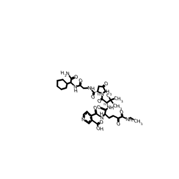 CCNC(=O)C(=O)CCC(NC(=O)c1ccncc1C(=O)O)C(=O)N[C@H](C(=O)N1CC(=O)C[C@H]1C(=O)NCC(=O)NC(C(N)=O)C1CCCCC1)C(C)(C)C